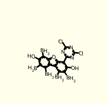 Bc1c(O)c(B)c2oc3c(-c4nc(Cl)nc(Cl)n4)c(O)c(B)c(B)c3c2c1B